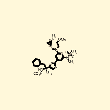 COCCN(C[C@@H]1C[C@H]1C)c1cc(-c2ncc([C@@](C)(Cc3ccccc3)NC(=O)O)o2)cc(N(C)S(C)(=O)=O)n1